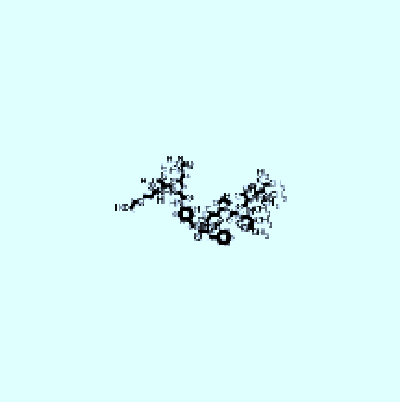 CC[C@H](C)[C@@H]([C@@H](CC(=O)N1CCC[C@H]1[C@H](OC)[C@@H](C)C(=O)N[C@@H](Cc1ccccc1)C(=O)NCc1ccc(NC(=O)[C@H](CCCNC(N)=O)NC(=O)[C@@H](NC(=O)CCOCCO)C(C)C)cc1)OC)N(C)C(=O)[C@@H](NC(=O)[C@H](C(C)C)N(C)C)C(C)C